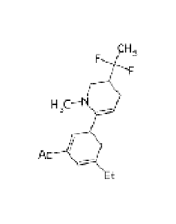 CCC1=CC(C(C)=O)=CC(C2=CCC(C(C)(F)F)CN2C)C1